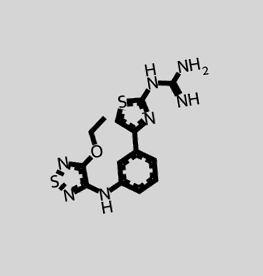 CCOc1nsnc1Nc1cccc(-c2csc(NC(=N)N)n2)c1